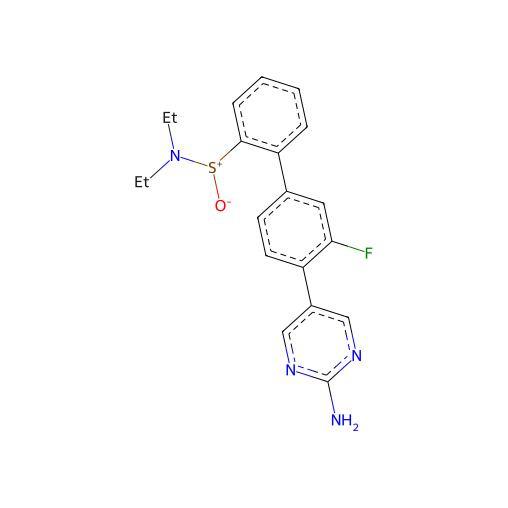 CCN(CC)[S+]([O-])c1ccccc1-c1ccc(-c2cnc(N)nc2)c(F)c1